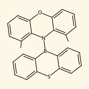 Cc1cccc2c1N(B1c3ccccc3Sc3ccccc31)c1c(C)cccc1O2